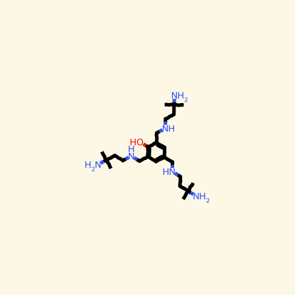 CC(C)(N)CCNCc1cc(CNCCC(C)(C)N)c(O)c(CNCCC(C)(C)N)c1